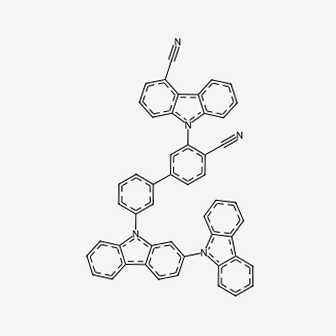 N#Cc1ccc(-c2cccc(-n3c4ccccc4c4ccc(-n5c6ccccc6c6ccccc65)cc43)c2)cc1-n1c2ccccc2c2c(C#N)cccc21